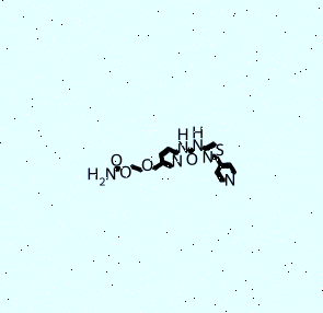 NC(=O)OCCOCc1ccc(NC(=O)Nc2csc(-c3ccncc3)n2)nc1